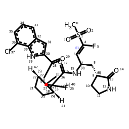 CS(=O)(=O)/C(F)=C/[C@@H](C[C@H]1CCNC1=O)NC(=O)[C@H]1[C@@H]2CC[C@@H](CC2(F)F)N1C(=O)c1cc2cccc(Cl)c2[nH]1